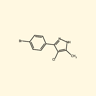 Cc1[nH]nc(-c2ccc(Br)cc2)c1Cl